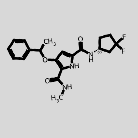 CNC(=O)c1[nH]c(C(=O)N[C@@H]2CCC(F)(F)C2)cc1OC(C)c1ccccc1